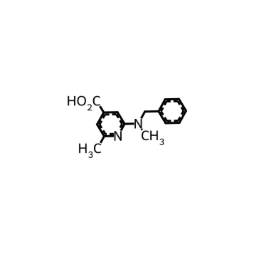 Cc1cc(C(=O)O)cc(N(C)Cc2ccccc2)n1